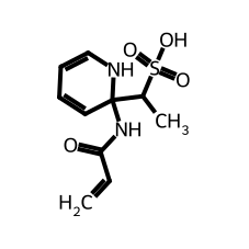 C=CC(=O)NC1(C(C)S(=O)(=O)O)C=CC=CN1